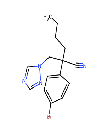 CCCCC(C#N)(Cn1cncn1)c1ccc(Br)cc1